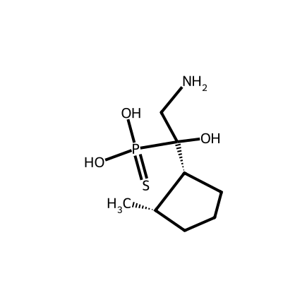 C[C@H]1CCC[C@H]1C(O)(CN)P(O)(O)=S